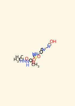 CCC(CC)NC(=O)Nc1ccc(Oc2cnc(NC(=O)c3ccc4c(ccn4CCCN4CCC(O)CC4)c3)s2)c(OC)c1